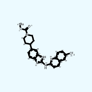 CC(C)(C)OC(=O)N1CCC(c2ccc3nc(Nc4ccc5cc(C(F)(F)F)ccc5n4)[nH]c3c2)CC1